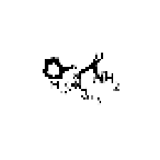 CN(C)[C@H](Cc1ccccc1)C(N)=O